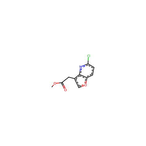 COC(=O)Cc1coc2ccc(Cl)nc12